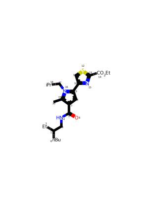 CCCCC(CC)CNC(=O)c1cc(-c2csc(C(=O)OCC)n2)n(CC(C)C)c1C